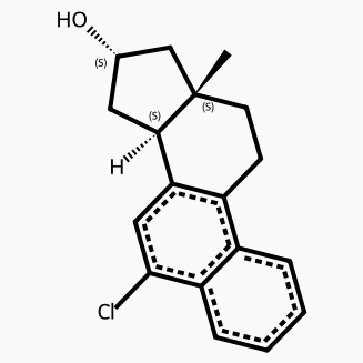 C[C@@]12CCc3c(cc(Cl)c4ccccc34)[C@H]1C[C@H](O)C2